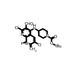 C=C(Br)/C(Cl)=C\c1c(CF)nc(Cl)c(C=O)c1NC1CCN(C(=O)OC(C)(C)C)CC1